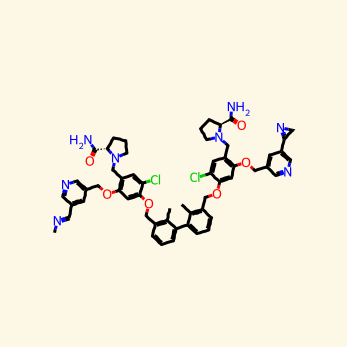 C/N=C/c1cncc(COc2cc(OCc3cccc(-c4cccc(COc5cc(OCc6cncc(C7=NC7)c6)c(CN6CCC[C@H]6C(N)=O)cc5Cl)c4C)c3C)c(Cl)cc2CN2CCC[C@H]2C(N)=O)c1